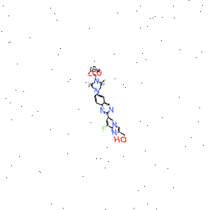 C[C@H]1CN(c2ccc3nc(-c4cc(F)c5nc(CO)cn5c4)ncc3c2)C[C@H](C)N1C(=O)OC(C)(C)C